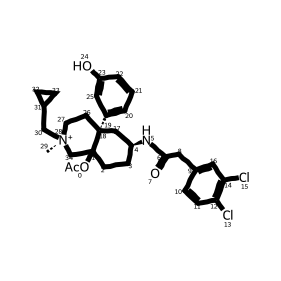 CC(=O)OC12CC[C@H](NC(=O)Cc3ccc(Cl)c(Cl)c3)C[C@]1(c1cccc(O)c1)CC[N@+](C)(CC1CC1)C2